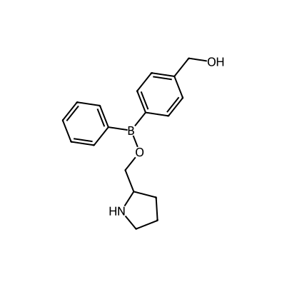 OCc1ccc(B(OCC2CCCN2)c2ccccc2)cc1